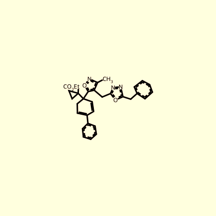 CCOC(=O)C1(C2(c3onc(C)c3Cc3nnc(Cc4ccccc4)o3)C=CC(c3ccccc3)=CC2)CC1